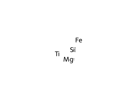 [Fe].[Mg].[Si].[Ti]